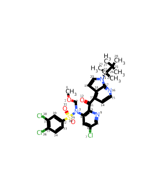 COCN(c1cc(Cl)cnc1C(=O)c1ccnc2c1ccn2[Si](C)(C)C(C)(C)C)S(=O)(=O)c1ccc(Cl)c(Cl)c1